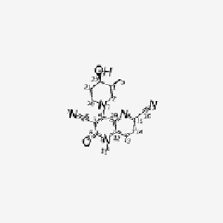 C[C@H]1CN(c2c(C#N)c(=O)n(C)c3ccc(C#N)nc23)CC[C@H]1O